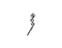 CCCCCCCCCC[C@H]1CC[C@H]([C@H]2CC[C@H](C=CC(F)(F)F)CC2)CC1